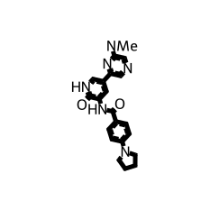 CNc1cncc(-c2c[nH]c(=O)c(NC(=O)c3ccc(N4CCCC4)cc3)c2)n1